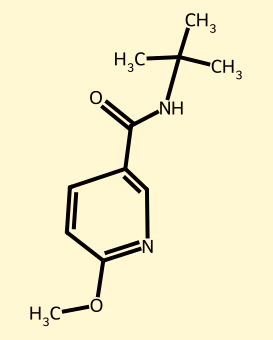 COc1ccc(C(=O)NC(C)(C)C)cn1